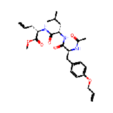 C=CCOc1ccc(C[C@H](NC(C)=O)C(=O)N[C@@H](CC(C)C)C(=O)N[C@@H](CC=C)C(=O)OC)cc1